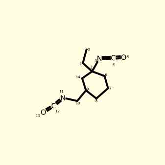 CCC1(N=C=O)CCCC(CN=C=O)C1